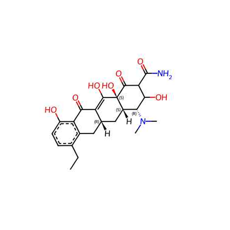 CCc1ccc(O)c2c1C[C@H]1C[C@H]3[C@@H](N(C)C)C(O)C(C(N)=O)C(=O)[C@@]3(O)C(O)=C1C2=O